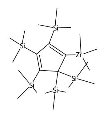 C[Si](C)(C)C1=C([Si](C)(C)C)C([Si](C)(C)C)([Si](C)(C)C)[C]([Zr]([CH3])([CH3])[CH3])=C1[Si](C)(C)C